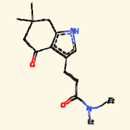 CCN(CC)C(=O)CCc1c[nH]c2c1C(=O)CC(C)(C)C2